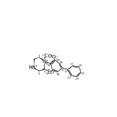 CCC1CNCC[N+]1(C(=O)[O-])c1ccc(-c2ccccc2)cc1